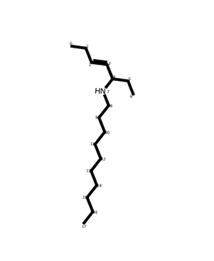 CCC=CC(CC)NCCCCCCCCCC